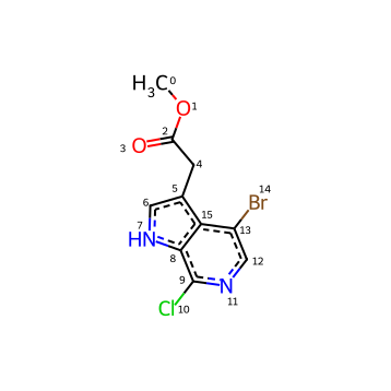 COC(=O)Cc1c[nH]c2c(Cl)ncc(Br)c12